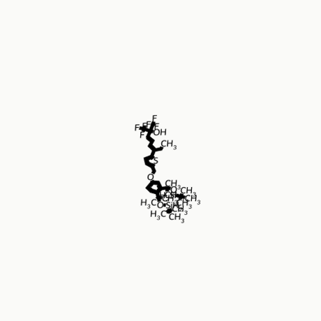 CCC(=CC=CC(O)(C(F)(F)F)C(F)(F)F)c1ccc(COc2ccc(C(C)(C)O[SiH2]C(C)(C)C)c(C(C)(C)O[SiH2]C(C)(C)C)c2)s1